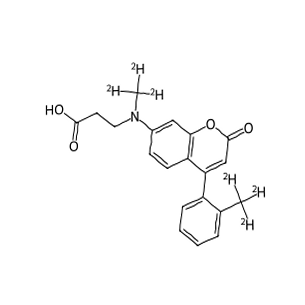 [2H]C([2H])([2H])c1ccccc1-c1cc(=O)oc2cc(N(CCC(=O)O)C([2H])([2H])[2H])ccc12